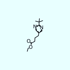 CCOC(=O)CCCc1cnc(C(C)(C)C)nc1